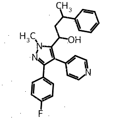 CC(CC(O)c1c(-c2ccncc2)c(-c2ccc(F)cc2)nn1C)c1ccccc1